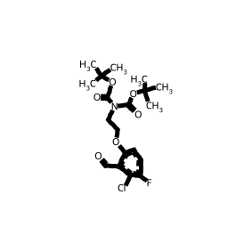 CC(C)(C)OC(=O)N(CCOc1ccc(F)c(Cl)c1C=O)C(=O)OC(C)(C)C